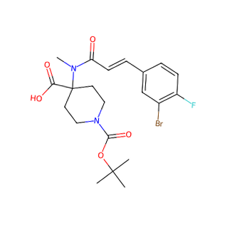 CN(C(=O)/C=C/c1ccc(F)c(Br)c1)C1(C(=O)O)CCN(C(=O)OC(C)(C)C)CC1